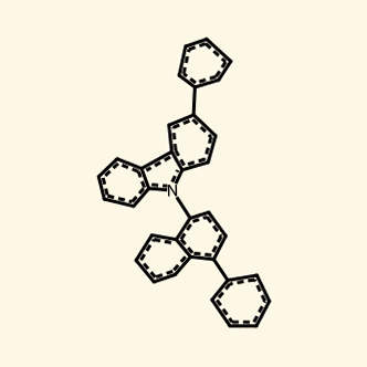 c1ccc(-c2ccc3c(c2)c2ccccc2n3-c2ccc(-c3ccccc3)c3ccccc23)cc1